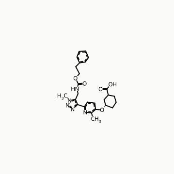 Cc1nc(-c2nnn(C)c2CNC(=O)OCCc2ccccc2)ccc1O[C@H]1CCCC(C(=O)O)C1